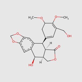 COC1=C(CO)C=C([C@@H]2c3cc4c(cc3[C@H](O)[C@@H]3COC(=O)[C@@H]32)OCO4)CC1OC